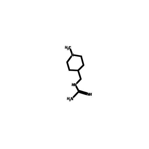 CN1CCC(CNC(=N)N)CC1